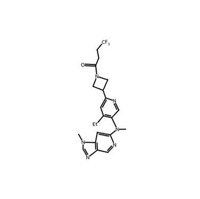 CCc1cc(C2CN(C(=O)CCC(F)(F)F)C2)ncc1N(C)c1cc2c(cn1)ncn2C